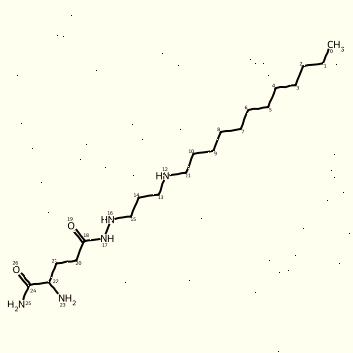 CCCCCCCCCCCCNCCCNNC(=O)CCC(N)C(N)=O